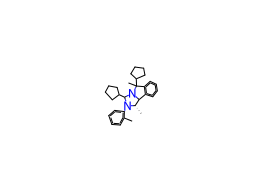 Cc1ccccc1N1C(C2CCCC2)N2C(c3ccccc3C2(C)C2CCCC2)[C@@H]1C